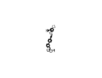 N#Cc1cc(Cl)ccc1OCC#Cc1ccc(-c2cccc(CC(=O)O)c2)cc1